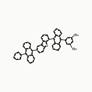 CC(C)(C)c1cc(-c2c3ccccc3c(-c3cccc4c3sc3ccc(-c5c6ccccc6c(-c6ccccc6)c6ccccc56)cc34)c3ccccc23)cc(C(C)(C)C)c1